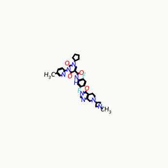 Cc1ccc(-n2c(=O)c(C(=O)Nc3cc(F)c(Oc4ncnc5c4CCN(C4CN(C)C4)C5)cc3F)cn(C3CCCC3)c2=O)nc1